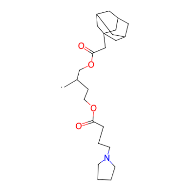 [CH2]C(CCOC(=O)CCCN1CCCC1)COC(=O)CC12CC3CC(CC(C3)C1)C2